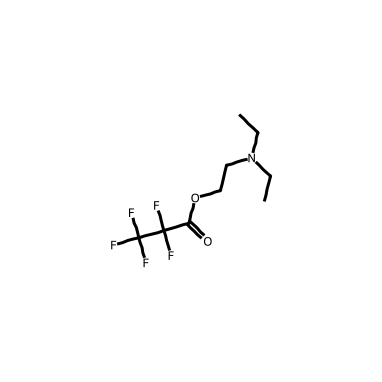 CCN(CC)CCOC(=O)C(F)(F)C(F)(F)F